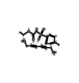 CCOC(=O)NS(=O)(=O)c1ccc(C)cc1.OCC#CC#CCO